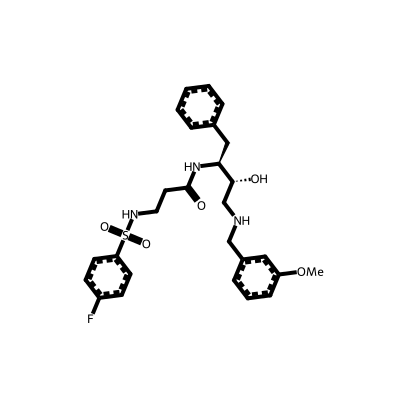 COc1cccc(CNC[C@@H](O)[C@H](Cc2ccccc2)NC(=O)CCNS(=O)(=O)c2ccc(F)cc2)c1